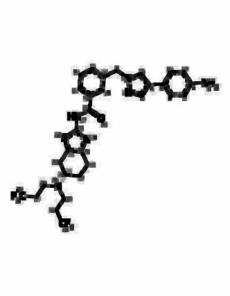 Nc1ccc(-c2cnn(Cc3cccc(C(=O)Nc4nc5c(s4)C[C@@H](N(CCC(F)(F)F)CCC(F)(F)F)CC5)c3)c2)cc1